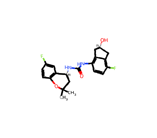 CC1(C)C[C@@H](NC(=O)Nc2ccc(F)c3c2C[C@H](O)C3)c2cc(F)ccc2O1